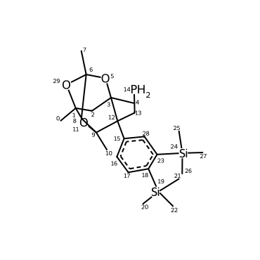 CC12CC3(C)OC(C)(CC(C)(O1)C3(CP)c1ccc([Si](C)(C)C)c([Si](C)(C)C)c1)O2